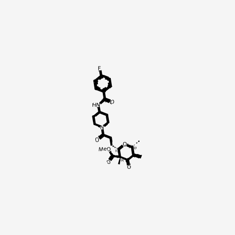 C=C1C(=O)[C@](C)(C(=O)OC)[C@H](CCC(=O)N2CCC(NC(=O)c3ccc(F)cc3)CC2)O[C@@H]1C